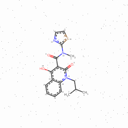 CC(C)Cn1c(=O)c(C(=O)N(C)c2nccs2)c(O)c2ccccc21